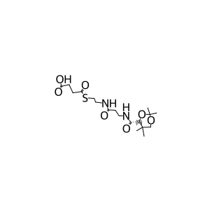 CC1(C)OCC(C)(C)[C@H](C(=O)NCCC(=O)NCCSC(=O)CCC(=O)O)O1